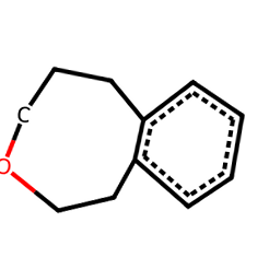 c1ccc2c(c1)CCCOCC2